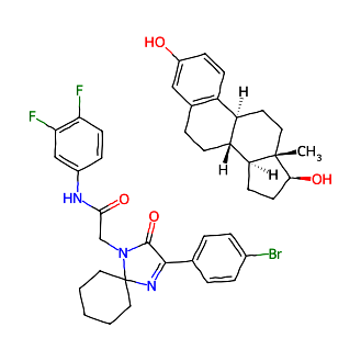 C[C@]12CC[C@@H]3c4ccc(O)cc4CC[C@H]3[C@@H]1CC[C@@H]2O.O=C(CN1C(=O)C(c2ccc(Br)cc2)=NC12CCCCC2)Nc1ccc(F)c(F)c1